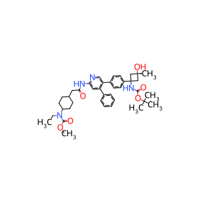 CCN(C(=O)OC)C1CCC(CC(=O)Nc2cc(-c3ccccc3)c(-c3ccc([C@]4(NC(=O)OC(C)(C)C)C[C@](C)(O)C4)cc3)cn2)CC1